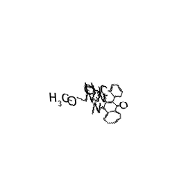 COCCN(C)C1=NC2=C(c3ccccc3C)C(=O)C3=CC=CCC=C3C2=N1